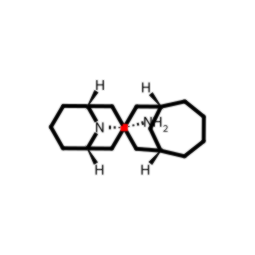 N[C@H]1C[C@H]2CCC[C@@H](C1)N2[C@@H]1C[C@@H]2CCCC[C@@H](C2)C1